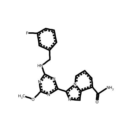 COc1nc(NCc2cccc(F)c2)nc(-c2ncc3c(C(N)=O)cccn23)n1